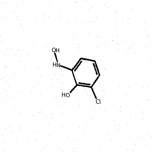 ONc1cccc(Cl)c1O